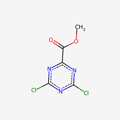 COC(=O)c1nc(Cl)nc(Cl)n1